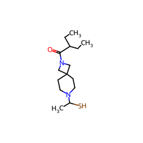 CCC(CC)C(=O)N1CC2(CCN(C(C)S)CC2)C1